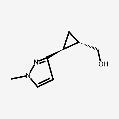 Cn1ccc([C@H]2C[C@@H]2CO)n1